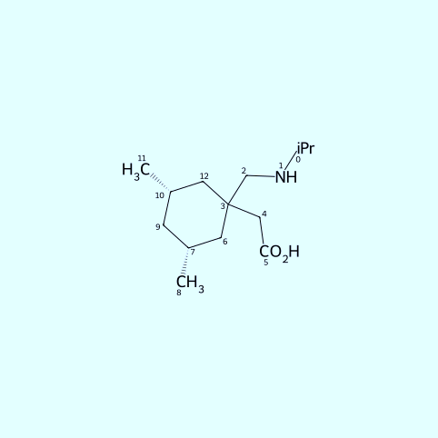 CC(C)NCC1(CC(=O)O)C[C@H](C)C[C@H](C)C1